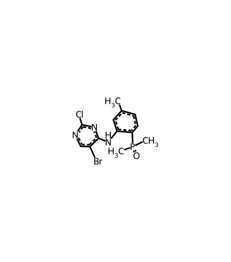 Cc1ccc(P(C)(C)=O)c(Nc2nc(Cl)ncc2Br)c1